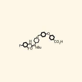 CCCCN(C(=O)Nc1ccc(F)cc1F)C1CCN(Cc2ccc(Oc3ccc(C(=O)O)cc3)cc2)CC1